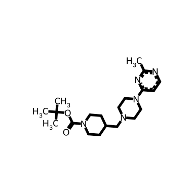 Cc1nccc(N2CCN(CC3CCN(C(=O)OC(C)(C)C)CC3)CC2)n1